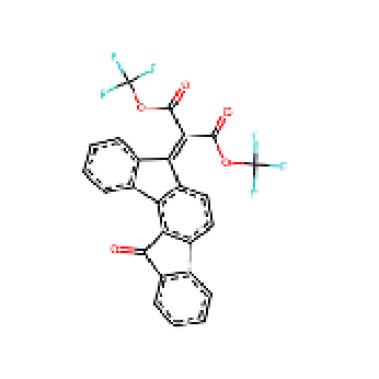 O=C(OC(F)(F)F)C(C(=O)OC(F)(F)F)=C1c2ccccc2-c2c1ccc1c2C(=O)c2ccccc2-1